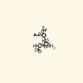 COC(=O)C1CN(C(=O)c2nc(-c3ccc(OC(F)F)c(OCC4CC4)c3)oc2[C@H](C)N)CCN1